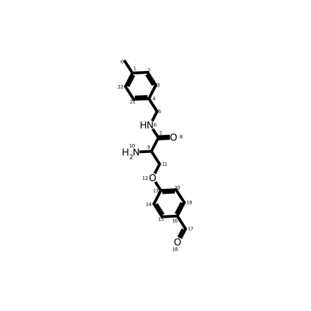 Cc1ccc(CNC(=O)C(N)COc2ccc(C=O)cc2)cc1